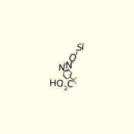 CC(C)(C(=O)O)c1ccc2ncn(COCC[Si](C)(C)C)c2c1